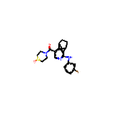 O=C(c1cnc(Nc2cccc(Br)c2)c2c1C1CCC2C1)N1CC[S+]([O-])CC1